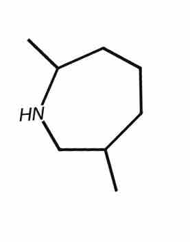 CC1CCCC(C)NC1